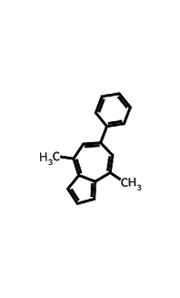 Cc1cc(-c2ccccc2)cc(C)c2cccc1-2